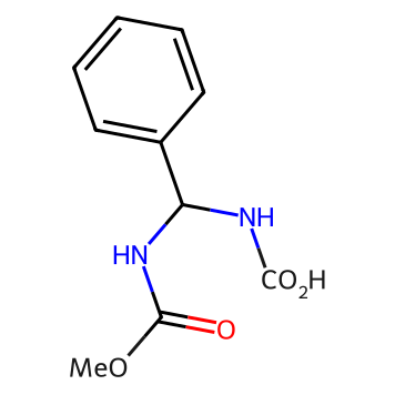 COC(=O)NC(NC(=O)O)c1ccccc1